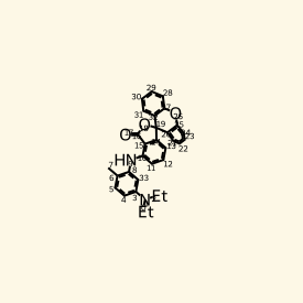 CCN(CC)c1ccc(C)c(Nc2cccc3c2C(=O)OC32c3ccccc3Oc3ccccc32)c1